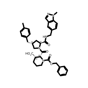 Cc1ccc(C[C@@H]2C[C@@H](C(=O)NCc3ccc4c(cnn4C)c3)N(C(=O)[C@H]3[C@@H](C(=O)O)CCCN3C(=O)OCc3ccccc3)C2)cc1